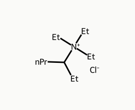 CCCC(CC)[N+](CC)(CC)CC.[Cl-]